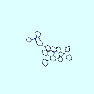 c1ccc(-c2ccccc2-c2c(-c3ccccc3)cccc2N(c2ccc(-c3ccc4c(c3)c3ccccc3n4-c3ccccc3)cc2)c2cccc3c2-c2ccccc2C3(c2ccccc2)c2ccccc2)cc1